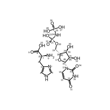 N[C@@H](Cc1c[nH]cn1)C(=O)O.O=c1ccn([C@@H]2O[C@H](COP(=O)(O)NP(=O)(O)O)[C@@H](O)[C@H]2O)c(=O)[nH]1